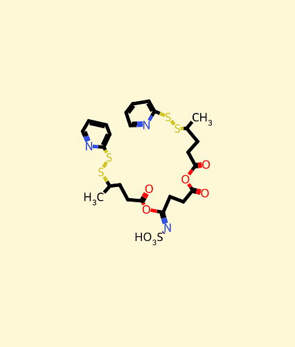 CC(CCC(=O)OC(=O)CC/C(=N/S(=O)(=O)O)OC(=O)CCC(C)SSc1ccccn1)SSc1ccccn1